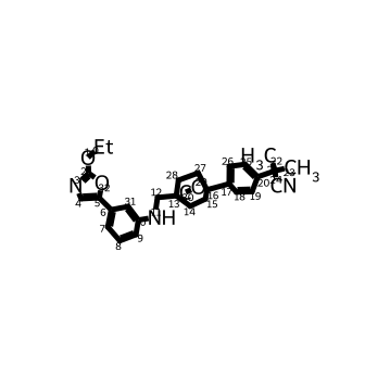 CCOc1ncc(-c2cccc(NCC34CCC(c5ccc(C(C)(C)C#N)cc5)(CC3)OC4)c2)o1